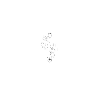 C[C@@H](NC(=O)[C@H](O)[C@@H](O)C(=O)N1CCC[C@@H]1c1ccn(-c2ccccc2)n1)c1ccc(-n2cccn2)cc1